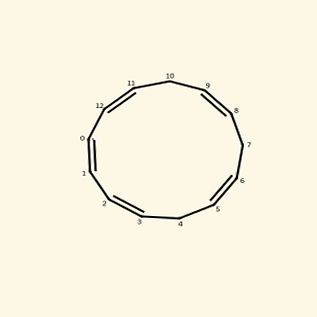 [C]1=CC=CCC=CCC=CCC=C1